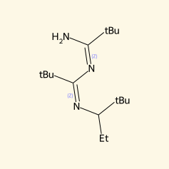 CCC(/N=C(\N=C(/N)C(C)(C)C)C(C)(C)C)C(C)(C)C